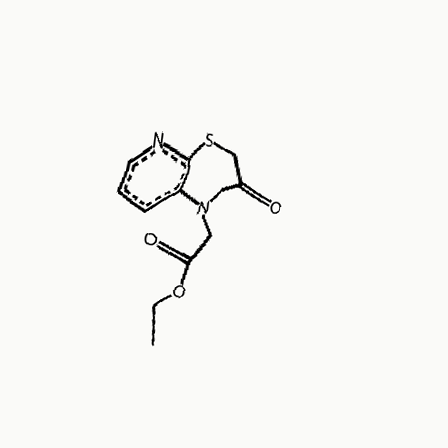 CCOC(=O)CN1C(=O)CSc2ncccc21